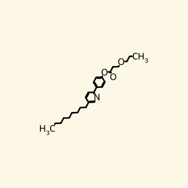 CCCCCCCCCc1ccc(-c2ccc(OC(=O)CCOCCC)cc2)nc1